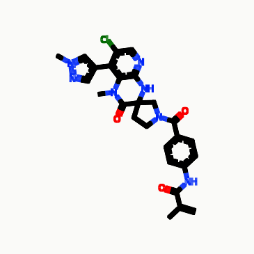 C=C(C)C(=O)Nc1ccc(C(=O)N2CCC3(C2)Nc2ncc(Cl)c(-c4cnn(C)c4)c2N(C)C3=O)cc1